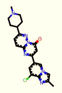 Cc1cn2cc(-c3cc(=O)n4nc(C5CCN(C)CC5)ccc4n3)cc(Cl)c2n1